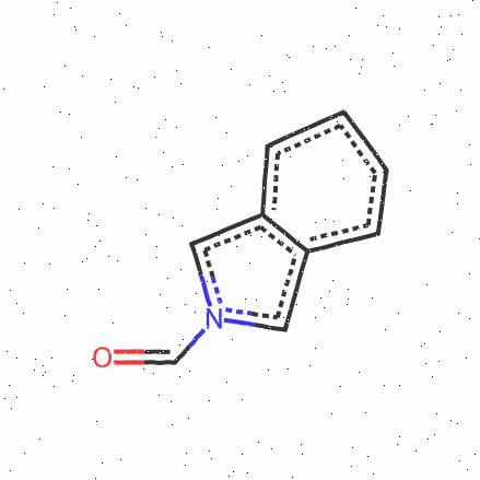 O=Cn1cc2ccccc2c1